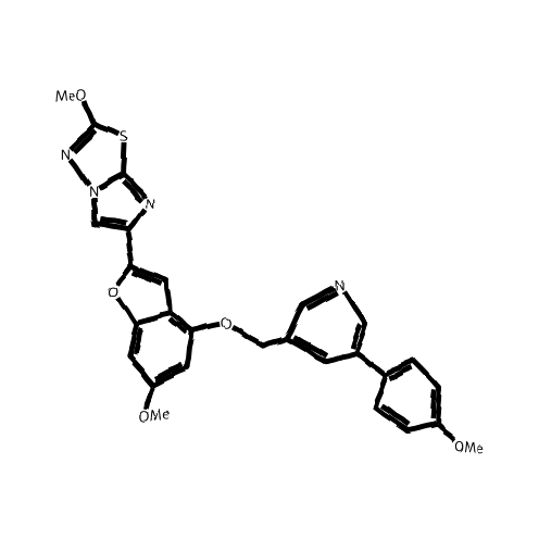 COc1ccc(-c2cncc(COc3cc(OC)cc4oc(-c5cn6nc(OC)sc6n5)cc34)c2)cc1